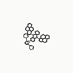 C1=CCCC(c2ccc(C3C=CC=CC3)n2-c2ccc3c(-c4ccc5ccc6cccc7ccc4c5c67)c4ccccc4c(-c4ccc5ccc6cccc7ccc4c5c67)c3c2)=C1